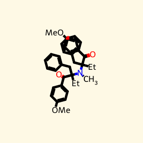 CCC(Cc1ccccc1)(C(=O)c1ccc(OC)cc1)N(C)C(CC)(Cc1ccccc1)C(=O)c1ccc(OC)cc1